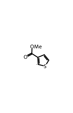 COC(=O)c1[c]scc1